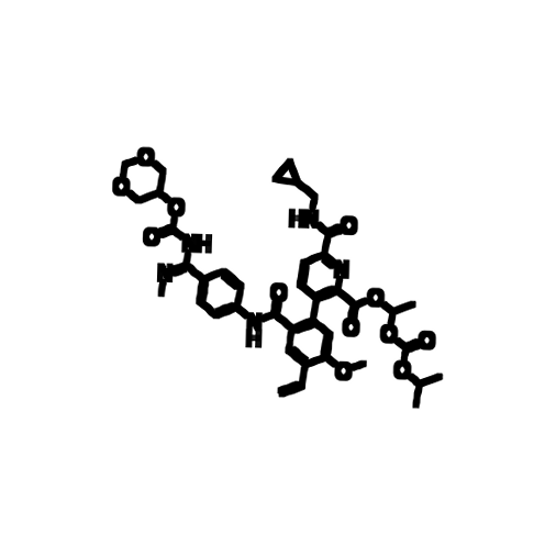 C=Cc1cc(C(=O)Nc2ccc(/C(=N\C)NC(=O)OC3COCOC3)cc2)c(-c2ccc(C(=O)NCC3CC3)nc2C(=O)OC(C)OC(=O)OC(C)C)cc1OC